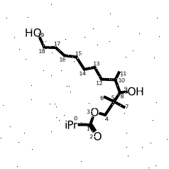 CC(C)C(=O)OCC(C)(C)C(O)C(C)CCCCCCCO